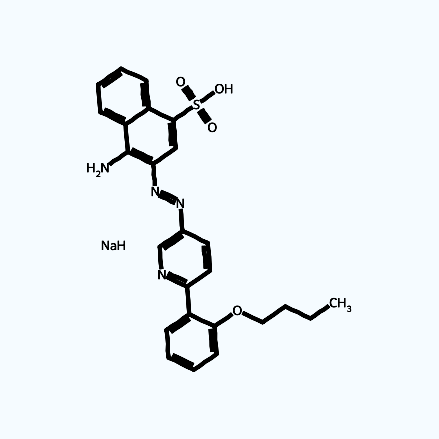 CCCCOc1ccccc1-c1ccc(/N=N/c2cc(S(=O)(=O)O)c3ccccc3c2N)cn1.[NaH]